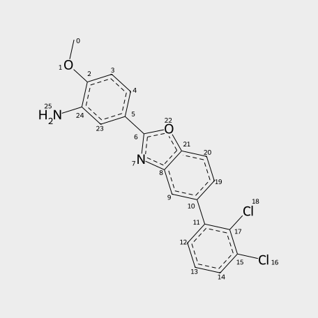 COc1ccc(-c2nc3cc(-c4cccc(Cl)c4Cl)ccc3o2)cc1N